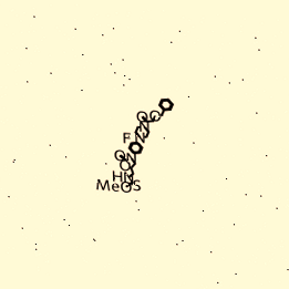 COC(=S)NCC1CN(c2ccc(N3CCN(C(=O)COCc4ccccc4)CC3)c(F)c2)C(=O)O1